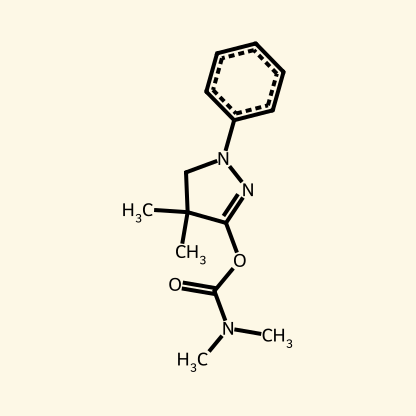 CN(C)C(=O)OC1=NN(c2ccccc2)CC1(C)C